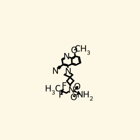 COc1cccc2c(N3CC4(CC(N(CC(C)(F)F)S(N)(=O)=O)C4)C3)c(C#N)cnc12